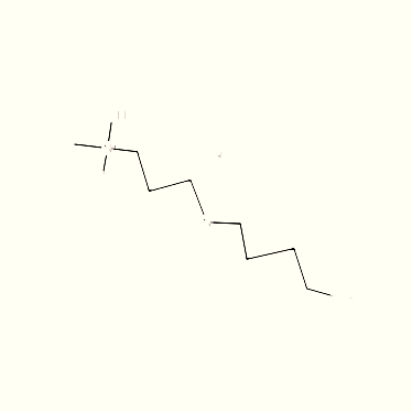 CCCCCCCCCCCCNCCC[N+](C)(C)C.[Br-]